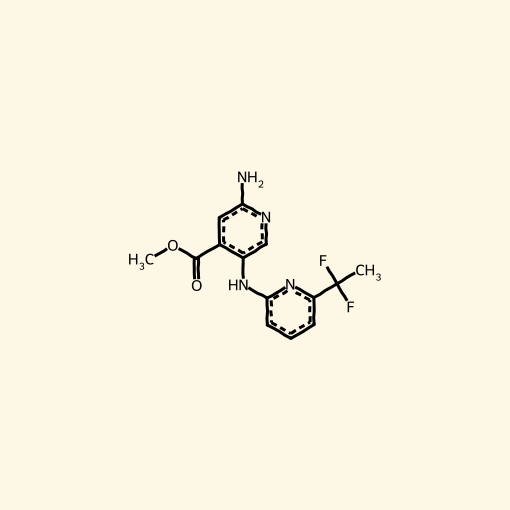 COC(=O)c1cc(N)ncc1Nc1cccc(C(C)(F)F)n1